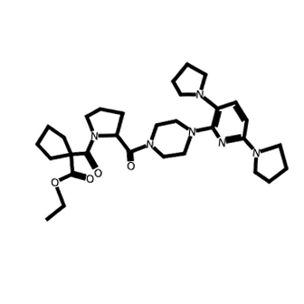 CCOC(=O)C1(C(=O)N2CCCC2C(=O)N2CCN(c3nc(N4CCCC4)ccc3N3CCCC3)CC2)CCCC1